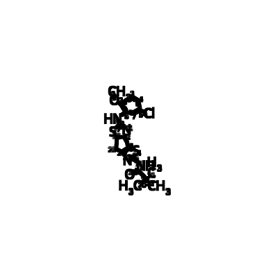 COc1ccc(Cl)cc1NC1=NC2c3sc(NC(=O)C(C)(C)C)nc3CC2S1